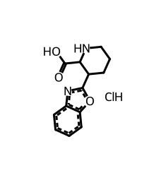 Cl.O=C(O)C1NCCCC1c1nc2ccccc2o1